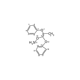 CC(Oc1ccccc1)=C(O[SiH3])Oc1ccccc1